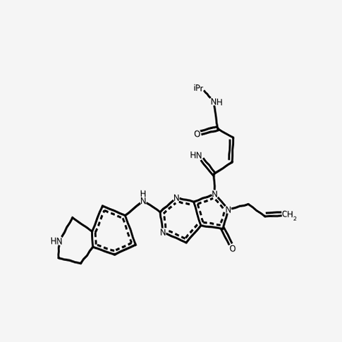 C=CCn1c(=O)c2cnc(Nc3ccc4c(c3)CNCC4)nc2n1C(=N)/C=C\C(=O)NC(C)C